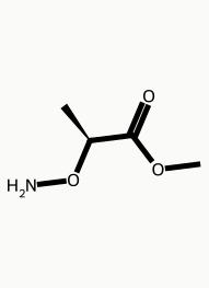 COC(=O)[C@H](C)ON